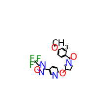 COc1ccc(C(=O)N2CCC(Oc3ccc(-c4noc(C(F)(F)F)n4)cn3)C2)cc1